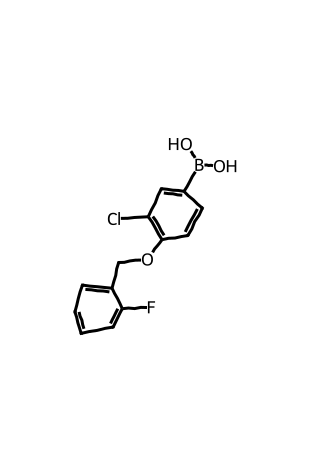 OB(O)c1ccc(OCc2ccccc2F)c(Cl)c1